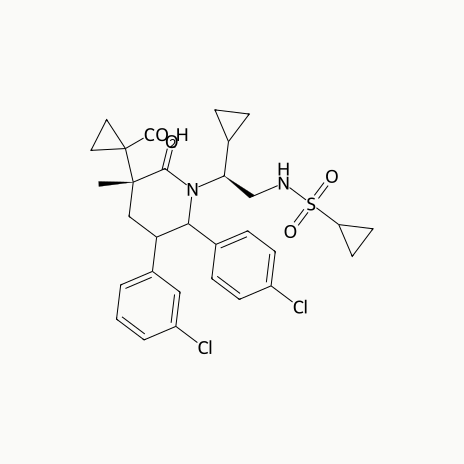 C[C@]1(C2(C(=O)O)CC2)CC(c2cccc(Cl)c2)C(c2ccc(Cl)cc2)N([C@H](CNS(=O)(=O)C2CC2)C2CC2)C1=O